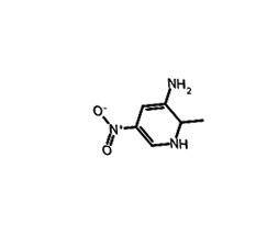 CC1NC=C([N+](=O)[O-])C=C1N